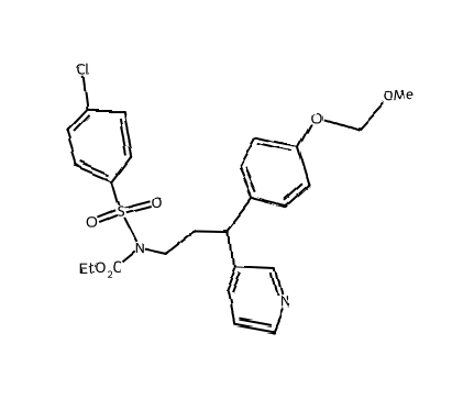 CCOC(=O)N(CCC(c1ccc(OCOC)cc1)c1cccnc1)S(=O)(=O)c1ccc(Cl)cc1